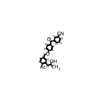 CC(=O)c1ccc(COc2ccc(C(=O)c3cccc(C#N)c3)cc2)cc1CC(C)O